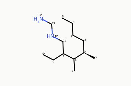 CCCC[C@@H](C)C(C)C(CC)CNCN